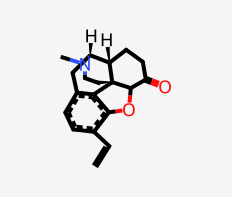 C=Cc1ccc2c3c1OC1C(=O)CC[C@H]4[C@@H](C2)N(C)CC[C@]314